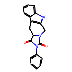 O=C1C2Cc3c([nH]c4ccccc34)CN2C(=O)N1c1ccccc1